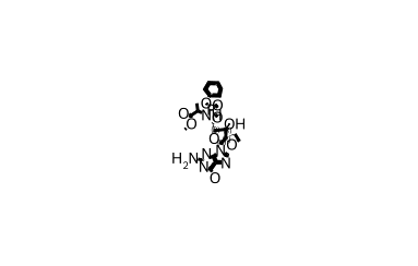 COC(=O)C(C)NP(=O)(OC[C@H]1O[C@@H](n2cnc3c(OC)nc(N)nc32)[C@@]2(CCO2)[C@@H]1O)Oc1ccccc1